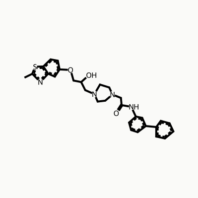 Cc1nc2cc(OCC(O)CN3CCN(CC(=O)Nc4cccc(-c5ccccc5)c4)CC3)ccc2s1